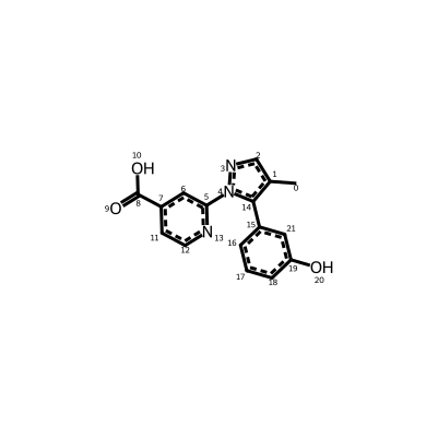 Cc1cnn(-c2cc(C(=O)O)ccn2)c1-c1cccc(O)c1